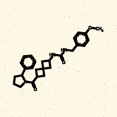 COc1ccc(CNC(=O)NC2CC3(C2)CC(C(=O)N2CCCC2c2ccccc2)C3)cc1